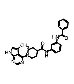 Cc1c[nH]c2ncnc(N3CCC(C(=O)Nc4cccc(NC(=O)c5ccccc5)c4)CC3)c12